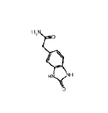 NC(=O)Cc1ccc2[nH]c(=O)[nH]c2c1